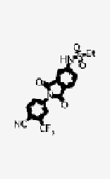 CCS(=O)(=O)Nc1ccc2c(c1)C(=O)N(c1ccc(C#N)c(C(F)(F)F)c1)C2=O